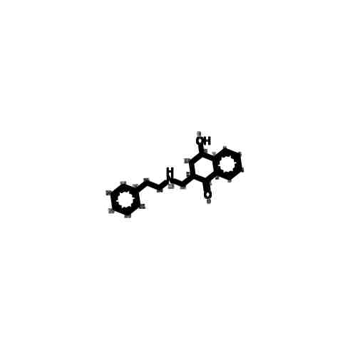 O=C1c2ccccc2C(O)CC1CNCCc1ccccc1